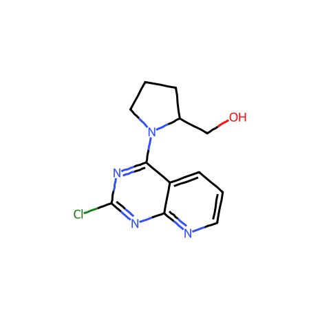 OCC1CCCN1c1nc(Cl)nc2ncccc12